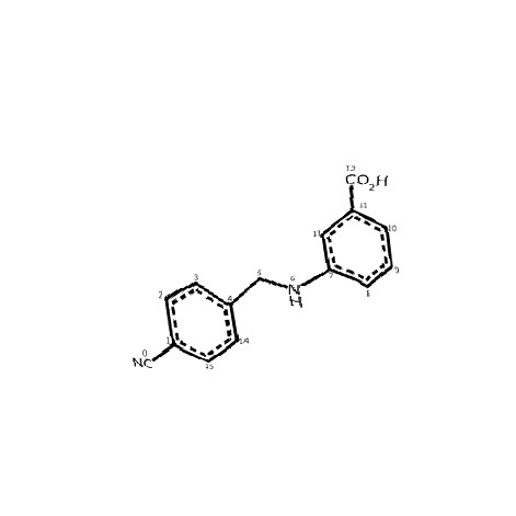 N#Cc1ccc(CNc2cccc(C(=O)O)c2)cc1